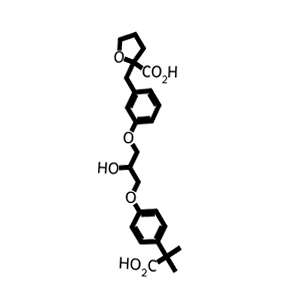 CC(C)(C(=O)O)c1ccc(OCC(O)COc2cccc(CC3(C(=O)O)CCCO3)c2)cc1